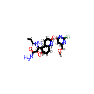 CCCNc1c(C(N)=O)oc2ccc3nc(Oc4cc(COC)nc(Cl)n4)ccc3c12